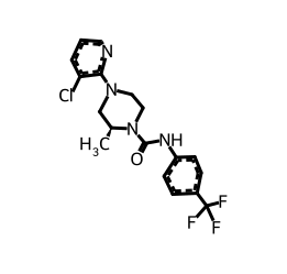 C[C@H]1CN(c2ncccc2Cl)CCN1C(=O)Nc1ccc(C(F)(F)F)cc1